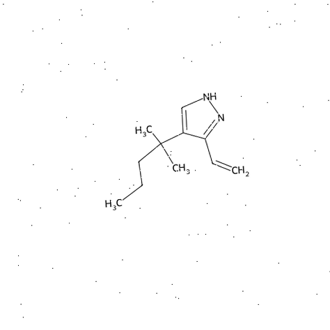 C=Cc1n[nH]cc1C(C)(C)CCC